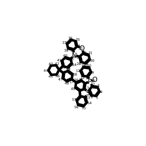 O=P(c1ccccc1)(c1ccccc1)c1cc(-c2ccc(C3(c4ccc(N5c6ccccc6Oc6ccccc65)cc4)CCCCC3)cc2)cc2c1sc1ccccc12